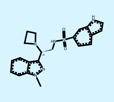 Cn1nc([C@@H](CNS(=O)(=O)c2ccc3cc[nH]c3c2)N2CCC2)c2ccccc21